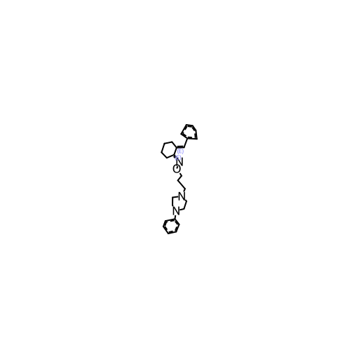 C(=C1/CCCC/C1=N\OCCCN1CCN(c2ccccc2)CC1)/c1ccccc1